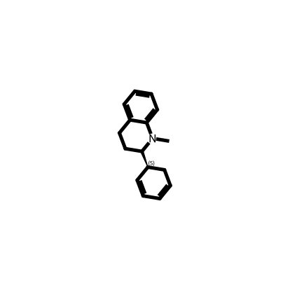 CN1c2ccccc2CCC1[C@@H]1C=CC=CC1